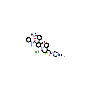 Cc1cccc(C2=C(C(=O)Nc3ccccc3)C=CC(N3CCC(F)(F)C(=CC(=O)N4CCN(C)CC4)c4ccccc43)C2=C=O)c1.Cl